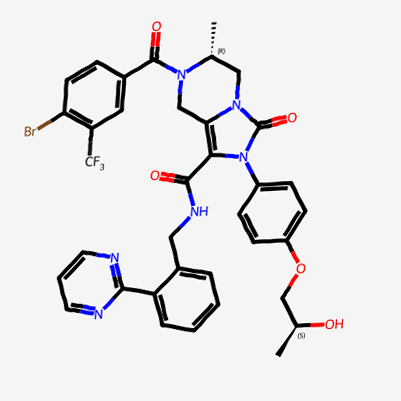 C[C@H](O)COc1ccc(-n2c(C(=O)NCc3ccccc3-c3ncccn3)c3n(c2=O)C[C@@H](C)N(C(=O)c2ccc(Br)c(C(F)(F)F)c2)C3)cc1